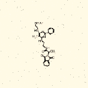 CC(=O)NCCNc1nc(-c2ccccc2)nc(NCCNC(=O)C(C)N2C(=O)c3ccccc3C2=O)c1C